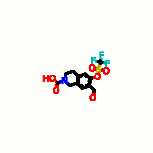 O=Cc1cc2c(cc1OS(=O)(=O)C(F)(F)F)CCN(C(=O)O)C2